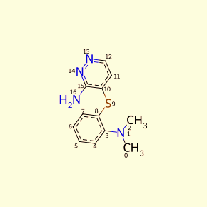 CN(C)c1ccccc1Sc1ccnnc1N